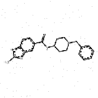 Cc1nc2cc(C(=O)NC3CCN(Cc4ccccc4)CC3)ccc2[nH]1